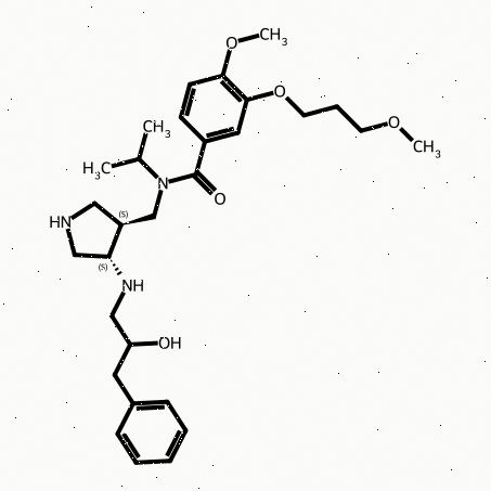 COCCCOc1cc(C(=O)N(C[C@@H]2CNC[C@H]2NCC(O)Cc2ccccc2)C(C)C)ccc1OC